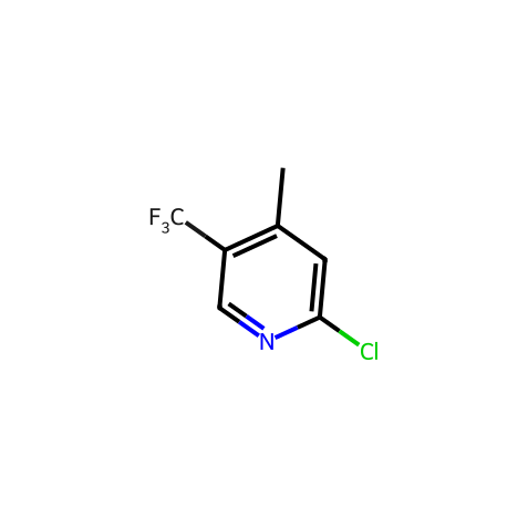 Cc1cc(Cl)ncc1C(F)(F)F